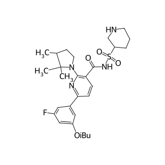 CC(C)COc1cc(F)cc(-c2ccc(C(=O)NS(=O)(=O)C3CCCNC3)c(N3CCC(C)C3(C)C)n2)c1